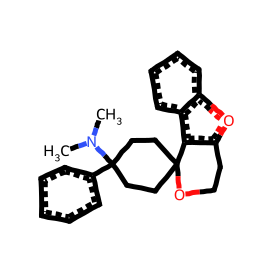 CN(C)C1(c2ccccc2)CCC2(CC1)OCCc1oc3ccccc3c12